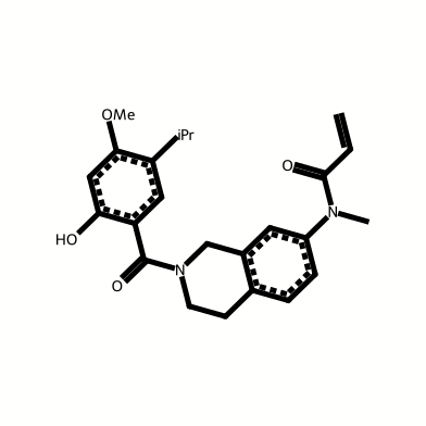 C=CC(=O)N(C)c1ccc2c(c1)CN(C(=O)c1cc(C(C)C)c(OC)cc1O)CC2